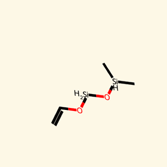 C=CO[SiH2]O[SiH](C)C